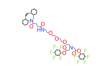 O=C(CCC(=O)N1Cc2ccccc2C#Cc2ccccc21)NCCOCCOCCOCCN(CC(=O)Oc1c(F)c(F)c(F)c(F)c1F)CC(=O)Oc1c(F)c(F)c(F)c(F)c1F